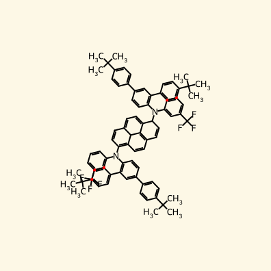 CC(C)(C)c1ccc(-c2ccc(N(C3=C4C=CC5=C6C(=CC=C(C=C3)C46)C(N(c3cccc(C(F)(F)F)c3)c3ccc(-c4ccc(C(C)(C)C)cc4)cc3-c3ccc(C(C)(C)C)cc3)C=C5)c3cccc(C(F)(F)F)c3)c(-c3ccc(C(C)(C)C)cc3)c2)cc1